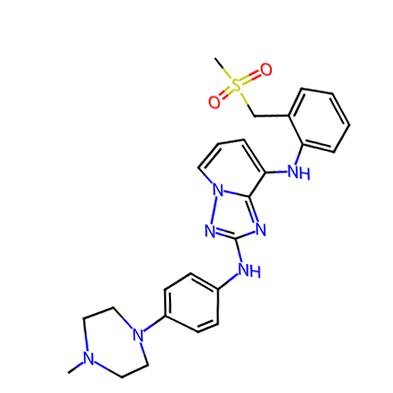 CN1CCN(c2ccc(Nc3nc4c(Nc5ccccc5CS(C)(=O)=O)cccn4n3)cc2)CC1